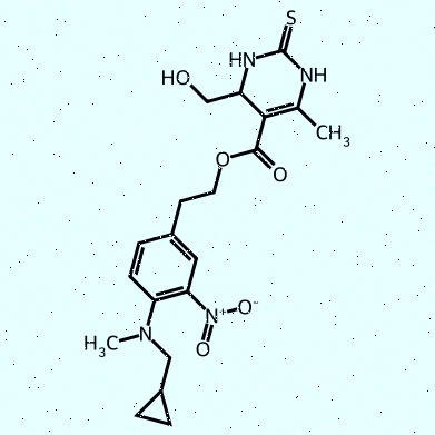 CC1=C(C(=O)OCCc2ccc(N(C)CC3CC3)c([N+](=O)[O-])c2)C(CO)NC(=S)N1